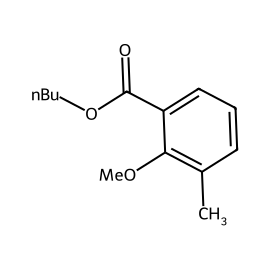 CCCCOC(=O)c1cccc(C)c1OC